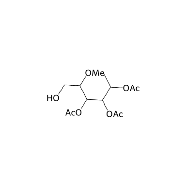 COC(CO)C(OC(C)=O)C(OC(C)=O)C(C)OC(C)=O